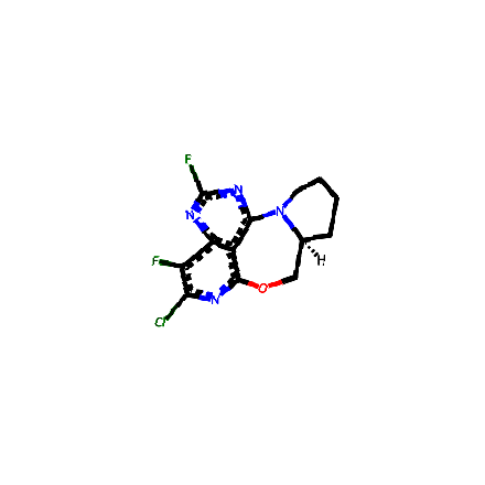 Fc1nc2c3c(nc(Cl)c(F)c3n1)OC[C@@H]1CCCCN21